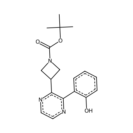 CC(C)(C)OC(=O)N1CC(c2nccnc2-c2ccccc2O)C1